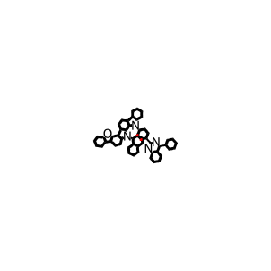 c1ccc(-c2nc(-c3ccc(-n4c5ccccc5c5ccc6c7c8oc9ccccc9c8ccc7n(-c7cccc8ccccc78)c6c54)cc3)nc3ccccc23)cc1